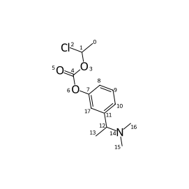 CC(Cl)OC(=O)Oc1cccc(C(C)N(C)C)c1